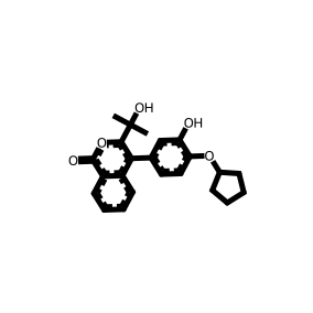 CC(C)(O)c1oc(=O)c2ccccc2c1-c1ccc(OC2CCCC2)c(O)c1